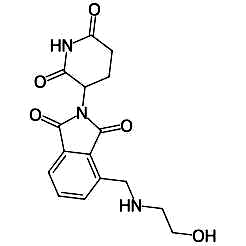 O=C1CCC(N2C(=O)c3cccc(CNCCO)c3C2=O)C(=O)N1